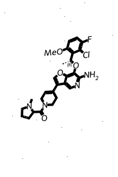 COc1ccc(F)c(Cl)c1[C@@H](C)Oc1c(N)ncc2c(C3=CCN(C(=O)C4CCCN4C)CC3)coc12